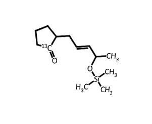 CC(C=CCC1CCC[13C]1=O)O[Si](C)(C)C